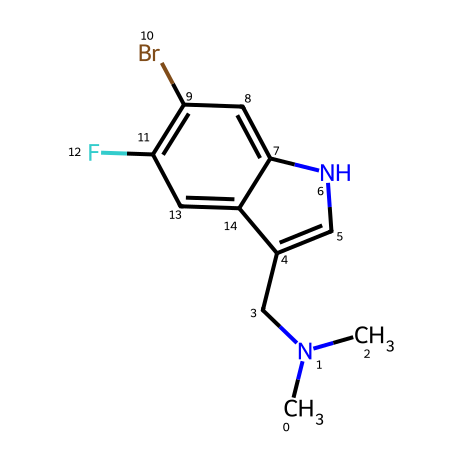 CN(C)Cc1c[nH]c2cc(Br)c(F)cc12